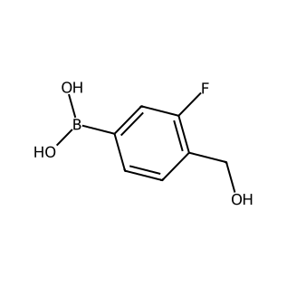 OCc1ccc(B(O)O)cc1F